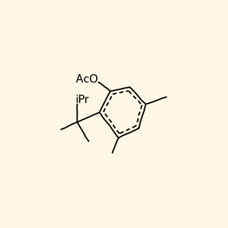 CC(=O)Oc1cc(C)cc(C)c1C(C)(C)C(C)C